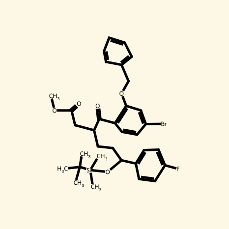 COC(=O)CC(CCC(O[Si](C)(C)C(C)(C)C)c1ccc(F)cc1)C(=O)c1ccc(Br)cc1OCc1ccccc1